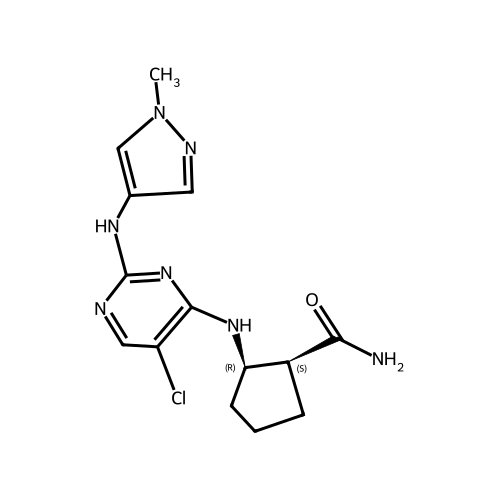 Cn1cc(Nc2ncc(Cl)c(N[C@@H]3CCC[C@@H]3C(N)=O)n2)cn1